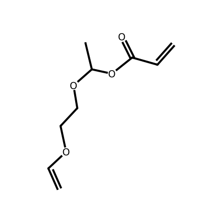 C=COCCOC(C)OC(=O)C=C